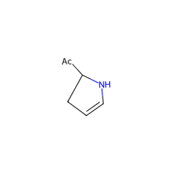 CC(=O)C1CC=CN1